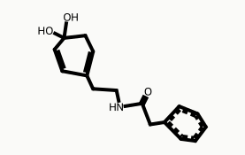 O=C(Cc1ccccc1)NCCC1=CCC(O)(O)C=C1